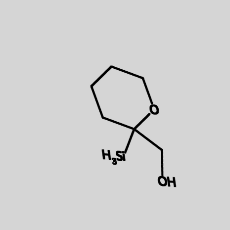 OCC1([SiH3])CCCCO1